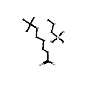 CC(C)(C)CCCCCC(=O)[O-].CCC[N+](C)(C)C